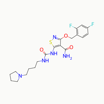 NC(=O)c1c(OCc2ccc(F)cc2F)nsc1NC(=O)NCCCCN1CCCC1